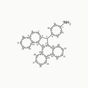 Nc1ccc(C2c3ccc4ccccc4c3-c3c2c2ccccc2c2ccccc32)cc1